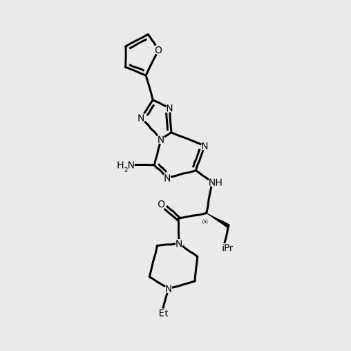 CCN1CCN(C(=O)[C@H](CC(C)C)Nc2nc(N)n3nc(-c4ccco4)nc3n2)CC1